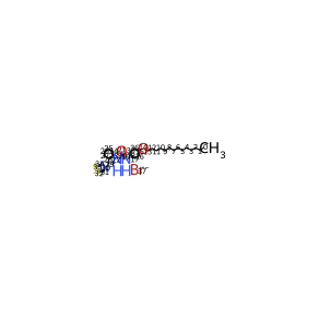 CCCCCCCCCCCCCCOc1ccc(NC(=O)Nc2ccccc2C[n+]2ccsc2)cc1.[Br-]